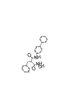 O=C(NO)C(Cc1ccccc1)C(=O)Nc1ccc(-c2ccccc2)cc1